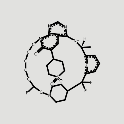 C[C@H]1Nc2ncnc3c2cc(C2CCS(=O)(=O)CC2)c(=O)n3CCCCCC(F)CN2CCC(CC2)C(F)(F)c2cccc1c2